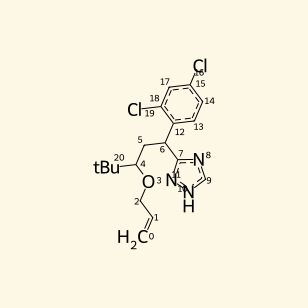 C=CCOC(CC(c1nc[nH]n1)c1ccc(Cl)cc1Cl)C(C)(C)C